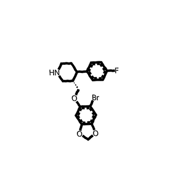 Fc1ccc(C2CCNC[C@H]2COc2cc3c(cc2Br)OCO3)cc1